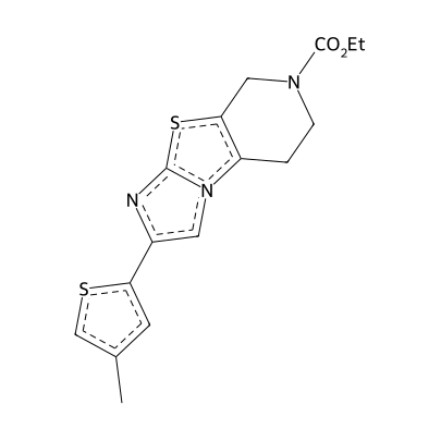 CCOC(=O)N1CCc2c(sc3nc(-c4cc(C)cs4)cn23)C1